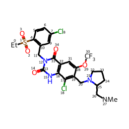 CCS(=O)(=O)c1ccc(Cl)cc1Cn1c(=O)[nH]c2c(Cl)c(CN3CCCC3CNC)c(OC(F)(F)F)cc2c1=O